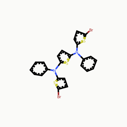 Brc1ccc(N(c2ccccc2)c2ccc(N(c3ccccc3)c3ccc(Br)s3)s2)s1